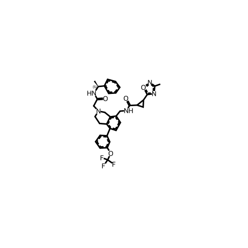 Cc1noc(C2CC2C(=O)NCc2ccc(-c3cccc(OC(F)(F)F)c3)c3c2CN(CC(=O)N[C@@H](C)c2ccccc2)CC3)n1